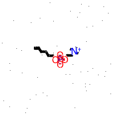 C=CCCCCOP(=O)([O-])OCC[N+](C)(C)C